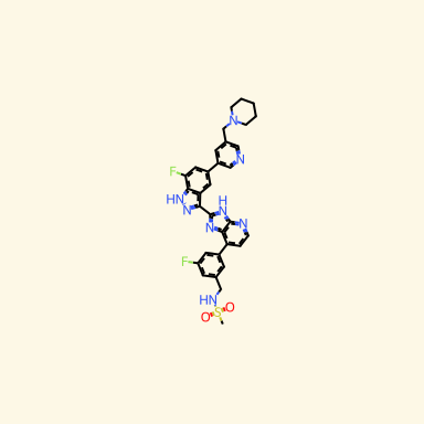 CS(=O)(=O)NCc1cc(F)cc(-c2ccnc3[nH]c(-c4n[nH]c5c(F)cc(-c6cncc(CN7CCCCC7)c6)cc45)nc23)c1